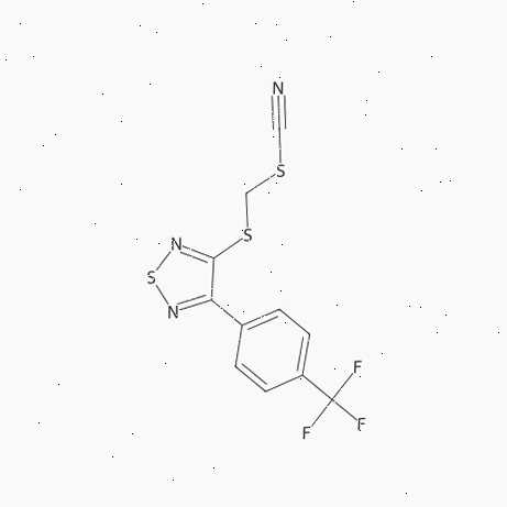 N#CSCSc1nsnc1-c1ccc(C(F)(F)F)cc1